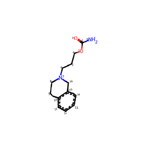 NC(=O)OCCCN1CCc2ccccc2C1